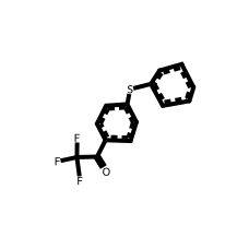 O=C(c1ccc(Sc2ccccc2)cc1)C(F)(F)F